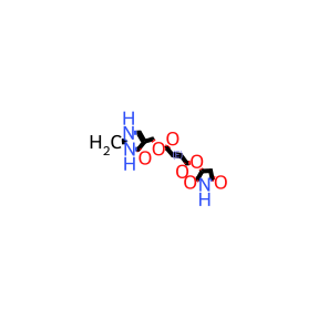 C=C1NC=C(COC(=O)/C=C/C(=O)OC2CC(=O)NC2=O)C(=O)N1